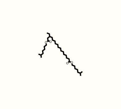 CCC(CCCCCCCCCCCCCC(=O)OCCCCCC(C)C)CC(=O)OCCCCCC(C)C